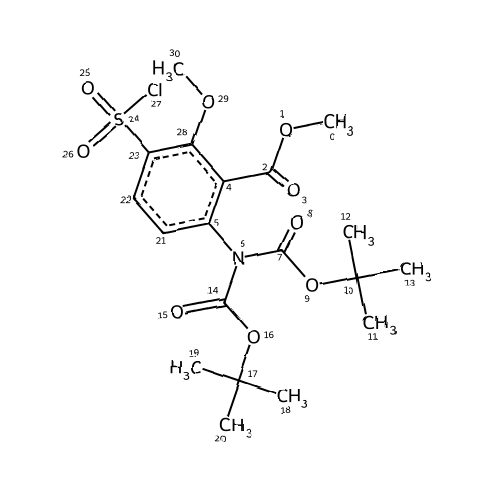 COC(=O)c1c(N(C(=O)OC(C)(C)C)C(=O)OC(C)(C)C)ccc(S(=O)(=O)Cl)c1OC